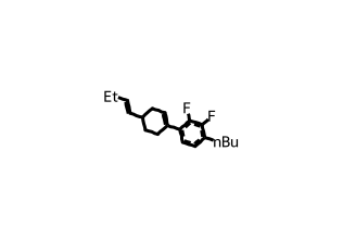 CC/C=C/C1CC=C(c2ccc(CCCC)c(F)c2F)CC1